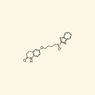 O=C1CCc2cc(OCCCC[S+]([O-])c3nc4ccccc4s3)ccc2N1